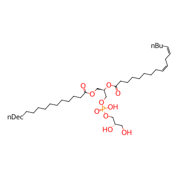 CCCC/C=C\C/C=C\CCCCCCCC(=O)O[C@H](COC(=O)CCCCCCCCCCCCCCCCCCCC)COP(=O)(O)OC[C@@H](O)CO